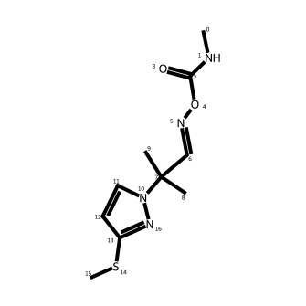 CNC(=O)ON=CC(C)(C)n1ccc(SC)n1